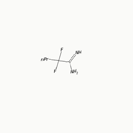 CCCC(F)(F)C(=N)N